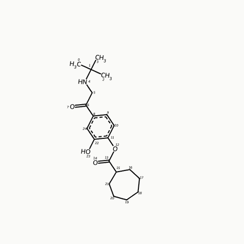 CC(C)(C)NCC(=O)c1ccc(OC(=O)C2CCCCCC2)c(O)c1